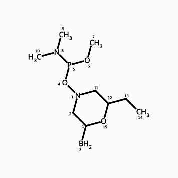 BC1CN(OP(OC)N(C)C)CC(CC)O1